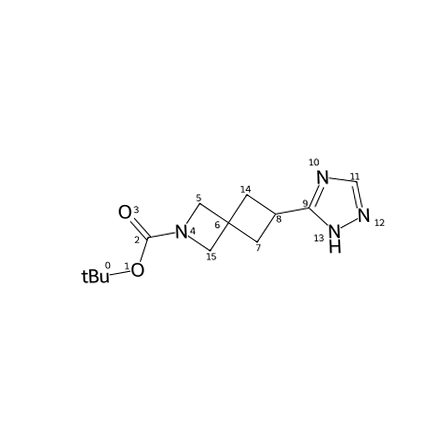 CC(C)(C)OC(=O)N1CC2(CC(c3ncn[nH]3)C2)C1